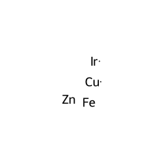 [Cu].[Fe].[Ir].[Zn]